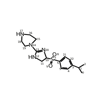 CC(C)c1ccc(S(=O)(=O)C2CNC(N3CCNCC3)=N2)cc1